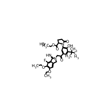 Br.CCOC(=O)C1CCC(=O)N1c1cc(C(=O)CN2Cc3cc(OCC)c(OCC)c(F)c3C2=N)cc(C(C)(C)C)c1O